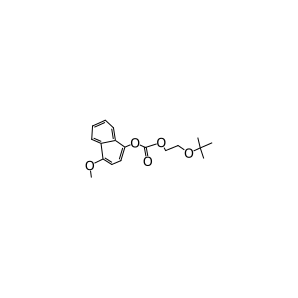 COc1ccc(OC(=O)OCCOC(C)(C)C)c2ccccc12